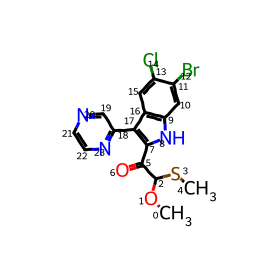 COC(SC)C(=O)c1[nH]c2cc(Br)c(Cl)cc2c1-c1cnccn1